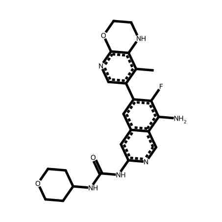 Cc1c(-c2cc3cc(NC(=O)NC4CCOCC4)ncc3c(N)c2F)cnc2c1NCCO2